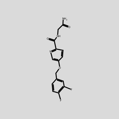 NC(=O)CNC(=O)c1ccc(OCc2ccc(F)c(F)c2)cn1